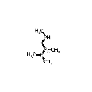 CPC[P@](C)B(C)C